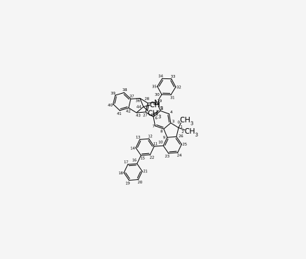 CC1(C)c2cc3c(cc2-c2c(-c4cccc(-c5ccccc5)c4)cccc21)c1c(n3-c2ccccc2)C2c3ccccc3C1C2(C)C